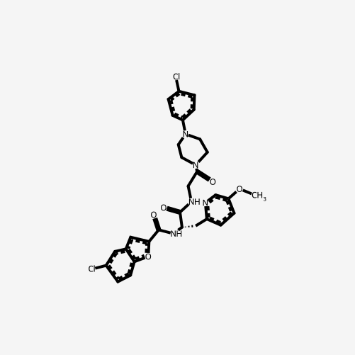 COc1ccc(C[C@H](NC(=O)c2cc3cc(Cl)ccc3o2)C(=O)NCC(=O)N2CCN(c3ccc(Cl)cc3)CC2)nc1